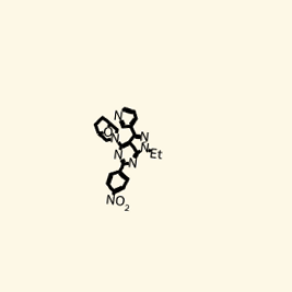 CCn1nc(-c2cccnc2)c2c(N3CC4CCC(C3)O4)nc(-c3ccc([N+](=O)[O-])cc3)nc21